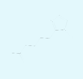 Cn1ccnc1CCCCC(=O)O